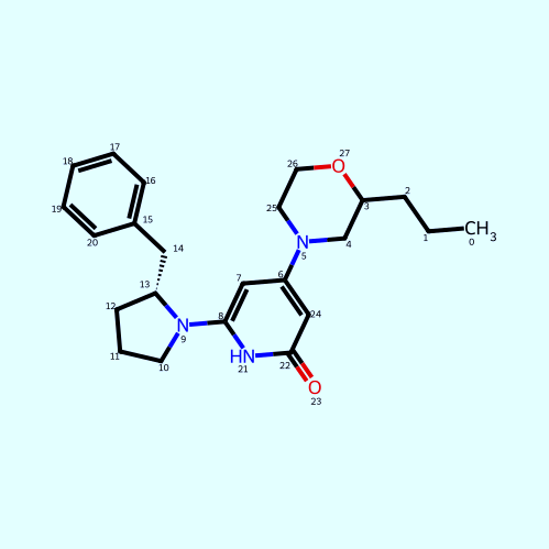 CCCC1CN(c2cc(N3CCC[C@@H]3Cc3ccccc3)[nH]c(=O)c2)CCO1